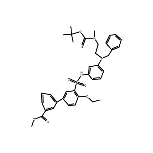 CCOc1ccc(-c2cccc(C(=O)OC)c2)cc1S(=O)(=O)Nc1cccc(N(CCN(C)C(=O)OC(C)(C)C)Cc2ccccc2)c1